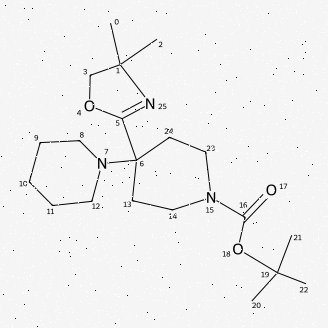 CC1(C)COC(C2(N3CCCCC3)CCN(C(=O)OC(C)(C)C)CC2)=N1